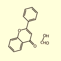 O=CO.O=c1cc(-c2ccccc2)oc2ccccc12